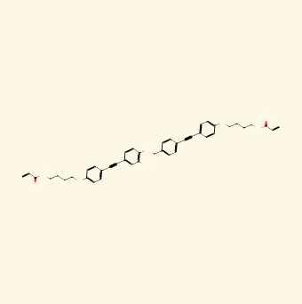 C=CC(=O)OCCCCSc1ccc(C#Cc2ccc(COc3ccc(C#Cc4ccc(SCCCCOC(=O)C=C)cc4)cc3O)cc2)cc1